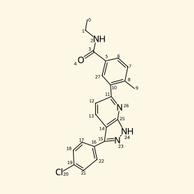 CCNC(=O)c1ccc(C)c(-c2ccc3c(-c4ccc(Cl)cc4)n[nH]c3n2)c1